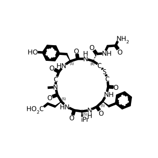 CC(C)[C@@H]1NC(=O)[C@H](Cc2ccccc2)NC(=O)CSC[C@@H](C(=O)NCC(N)=O)NC(=O)[C@H](Cc2ccc(O)cc2)NC(=O)CN(C)C(=O)[C@H](CCC(=O)O)NC1=O